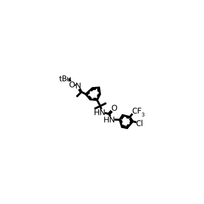 C/C(=N\OC(C)(C)C)c1cccc(C(C)(C)NC(=O)Nc2ccc(Cl)c(C(F)(F)F)c2)c1